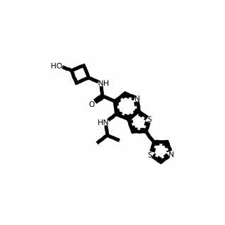 CC(C)Nc1c(C(=O)NC2CC(O)C2)cnc2sc(-c3cncs3)cc12